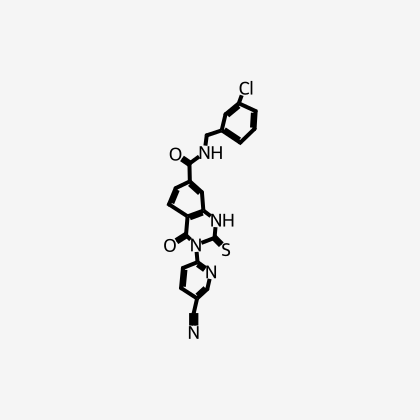 N#Cc1ccc(-n2c(=S)[nH]c3cc(C(=O)NCc4cccc(Cl)c4)ccc3c2=O)nc1